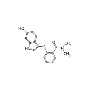 CN(C)C(=O)c1ccccc1Sc1c[nH]c2cc(O)ccc12